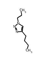 CCCCc1cn(CCC)nn1